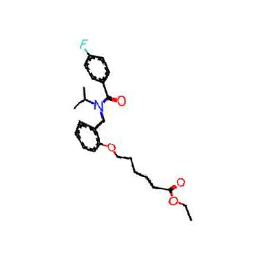 CCOC(=O)CCCCCOc1ccccc1CN(C(=O)c1ccc(F)cc1)C(C)C